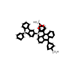 O=C(O)c1ccc(-c2c3ccccc3c(-c3ccc(C(=O)O)cc3)c3c(N(c4ccccc4)c4ccc5c(c4)c4ccccc4n5-c4ccccc4)cccc23)cc1